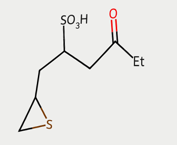 CCC(=O)CC(CC1CS1)S(=O)(=O)O